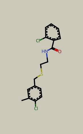 Cc1cc(CSCCNC(=O)c2ccccc2Cl)ccc1Cl